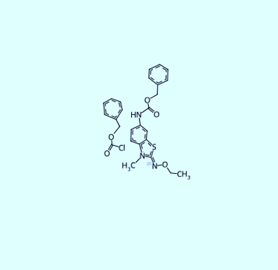 CCO/N=c1\sc2cc(NC(=O)OCc3ccccc3)ccc2n1C.O=C(Cl)OCc1ccccc1